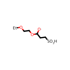 CCOCCOC([O])CCS(=O)(=O)O